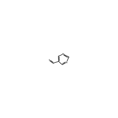 S=Cc1cncnc1